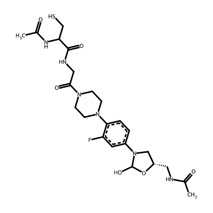 CC(=O)NC[C@H]1CN(c2ccc(N3CCN(C(=O)CNC(=O)C(CS)NC(C)=O)CC3)c(F)c2)C(O)O1